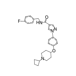 O=C(NCc1ccc(F)cc1)c1cnn(-c2ccc(OC3CCN(C4CCC4)CC3)cc2)c1